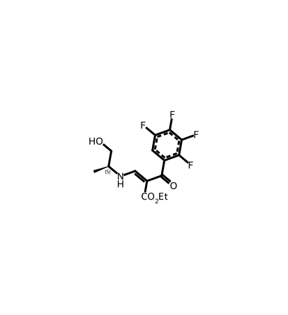 CCOC(=O)C(=CN[C@@H](C)CO)C(=O)c1cc(F)c(F)c(F)c1F